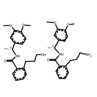 COc1ccc([C@@H](C)NC(=O)c2ccccc2CCCN)cc1OC.COc1ccc([C@@H](C)NC(=O)c2ccccc2CCCO)cc1OC